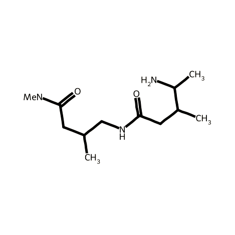 CNC(=O)CC(C)CNC(=O)CC(C)C(C)N